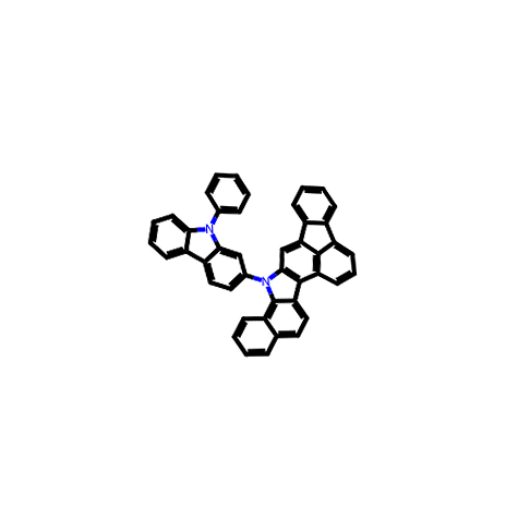 c1ccc(-n2c3ccccc3c3ccc(-n4c5cc6c7c(cccc7c5c5ccc7ccccc7c54)-c4ccccc4-6)cc32)cc1